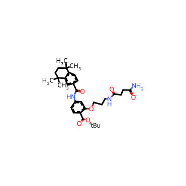 CC(C)(C)OC(=O)c1ccc(NC(=O)c2ccc3c(c2)C(C)(C)CCC3(C)C)cc1OCCCNC(=O)CCC(N)=O